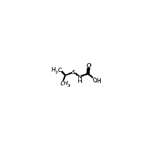 CC(C)SNC(=O)O